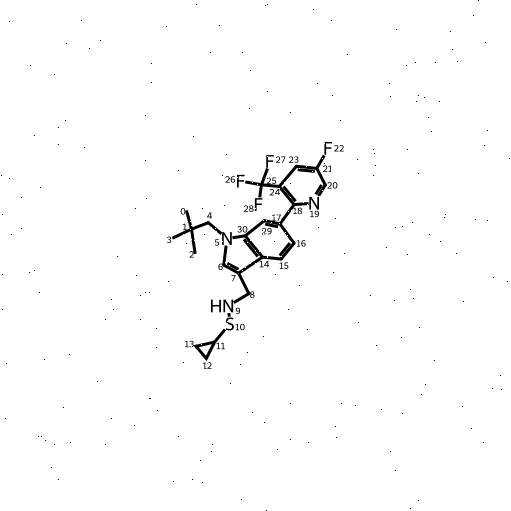 CC(C)(C)Cn1cc(CNSC2CC2)c2ccc(-c3ncc(F)cc3C(F)(F)F)cc21